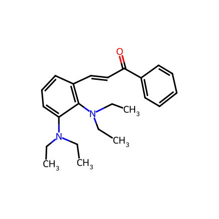 CCN(CC)c1cccc(C=CC(=O)c2ccccc2)c1N(CC)CC